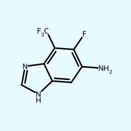 Nc1cc2[nH][c]nc2c(C(F)(F)F)c1F